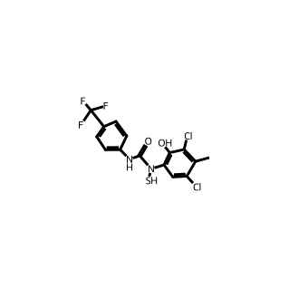 Cc1c(Cl)cc(N(S)C(=O)Nc2ccc(C(F)(F)F)cc2)c(O)c1Cl